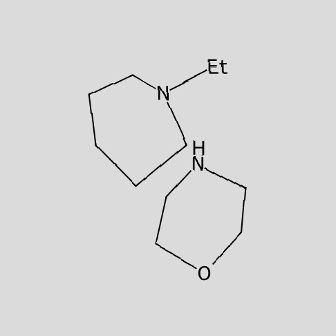 C1COCCN1.CCN1CCCCC1